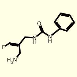 NC/C(=C\F)CNC(=O)Nc1ccccc1